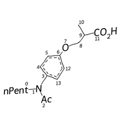 CCCCCN(C(C)=O)c1ccc(OCC(C)C(=O)O)cc1